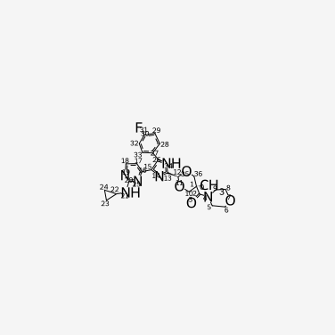 C[C@]1(C(=O)N2CCOCC2)CO[C@@H](c2nc(-c3ccnc(NC4CC4)n3)c(-c3ccc(F)cc3)[nH]2)OC1